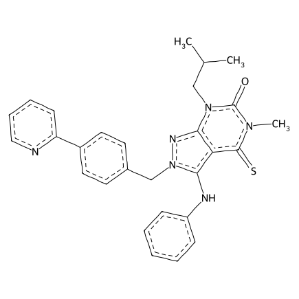 CC(C)Cn1c(=O)n(C)c(=S)c2c(Nc3ccccc3)n(Cc3ccc(-c4ccccn4)cc3)nc21